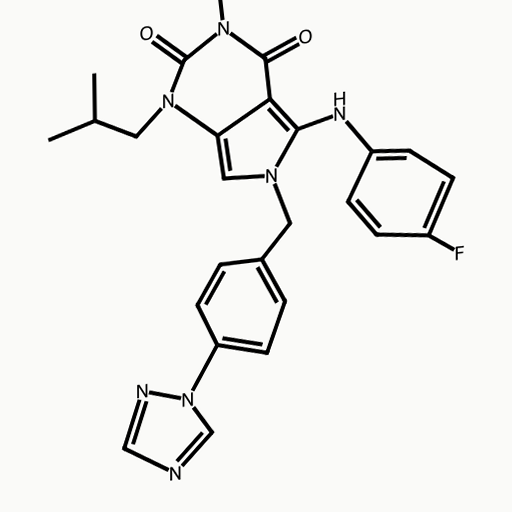 CC(C)Cn1c(=O)n(C)c(=O)c2c(Nc3ccc(F)cc3)n(Cc3ccc(-n4cncn4)cc3)cc21